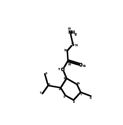 CC1CCC(C(C)C)C(OC(=O)CSN)C1